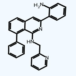 Nc1ccccc1-c1cc2cccc(-c3ccccc3)c2c(NCc2ccccn2)n1